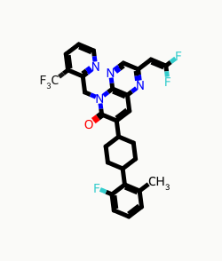 Cc1cccc(F)c1C1CCC(c2cc3nc(C=C(F)F)cnc3n(Cc3ncccc3C(F)(F)F)c2=O)CC1